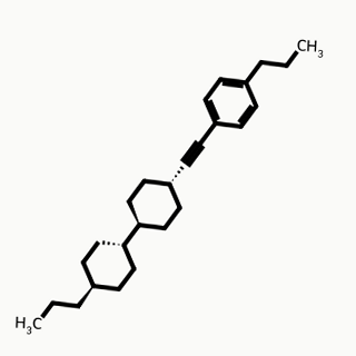 CCCc1ccc(C#C[C@H]2CC[C@H]([C@H]3CC[C@H](CCC)CC3)CC2)cc1